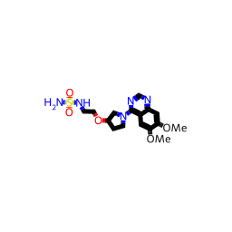 COc1cc2ncnc(N3CCC(OCCNS(N)(=O)=O)C3)c2cc1OC